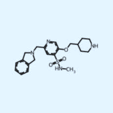 CNS(=O)(=O)c1cc(CN2Cc3ccccc3C2)ncc1OCC1CCNCC1